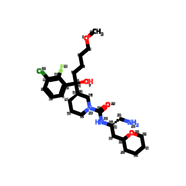 COCCCC[C@@](O)(c1cccc(Cl)c1F)[C@@H]1CCCN(C(=O)N[C@H](CN)CC2CCCCO2)C1